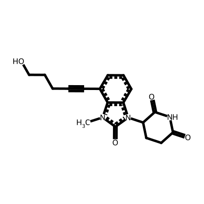 Cn1c(=O)n(C2CCC(=O)NC2=O)c2cccc(C#CCCCO)c21